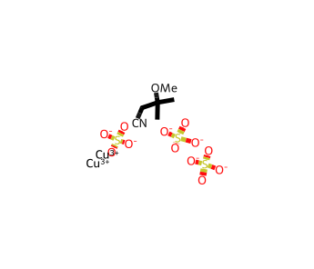 O=S(=O)([O-])[O-].O=S(=O)([O-])[O-].O=S(=O)([O-])[O-].[C-]#[N+]CC(C)(C)OC.[Cu+3].[Cu+3]